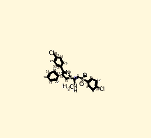 CN/C(=C\S(=O)(=O)c1ccc(Cl)cc1)N1C[C@H](c2ccccc2)C(c2ccc(Cl)cc2)=N1